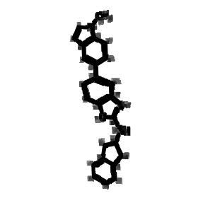 Cn1ccc2cc(-c3ccc4oc(NC5Cc6ccccc6C5)nc4c3)ccc21